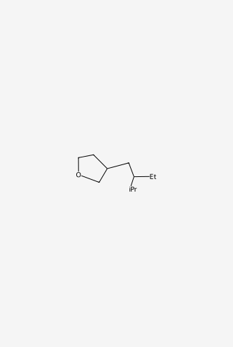 CCC(CC1CCOC1)C(C)C